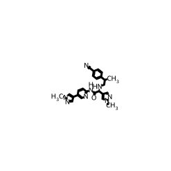 CC(CN[C@H](C(=O)Nc1ccc(-c2cnn(C)c2)cn1)c1cnn(C)c1)c1ccc(C#N)cc1